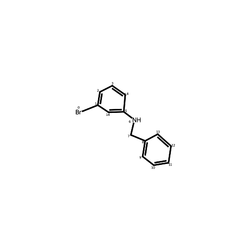 Brc1cc[c]c(NCc2ccccc2)c1